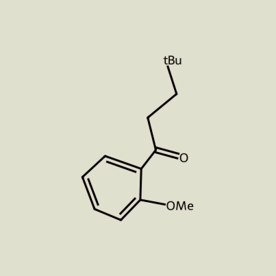 COc1ccccc1C(=O)CCC(C)(C)C